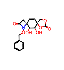 O=C1OC[C@@]2(C=C[C@]3(CC(=O)N3OCc3ccccc3)[C@H](O)[C@@H]2O)O1